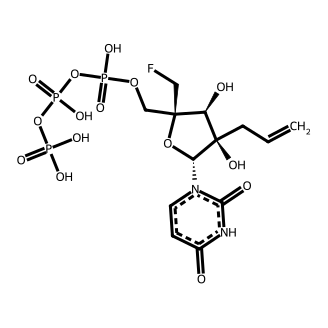 C=CC[C@@]1(O)[C@H](O)[C@@](CF)(COP(=O)(O)OP(=O)(O)OP(=O)(O)O)O[C@H]1n1ccc(=O)[nH]c1=O